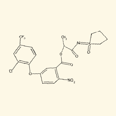 CC(OC(=O)c1cc(Oc2ccc(C(F)(F)F)cc2Cl)ccc1[N+](=O)[O-])C(=O)N=S1(=O)CCCC1